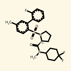 Cc1ccc(S(=O)(=O)N2CCC[C@H]2C(=O)N(C)C2CCC(F)(F)CC2)c(-c2ccccc2F)c1